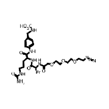 CC(C)C(NC(=O)COCCOCCOCCN=[N+]=[N-])C(=O)NC(CCCNC(N)=O)C(=O)Nc1ccc(CNC(=O)O)cc1